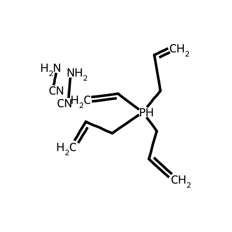 C=CC[PH](C=C)(CC=C)CC=C.N#CN.N#CN